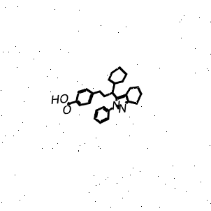 O=C(O)c1ccc(CCC(c2c3c(nn2-c2ccccc2)CCCC3)C2CCCCC2)cc1